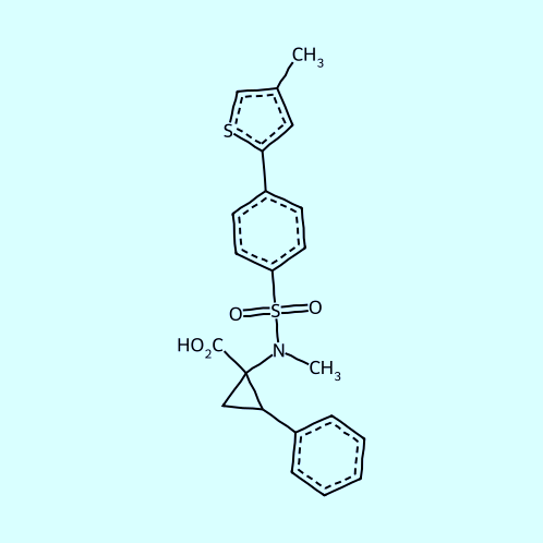 Cc1csc(-c2ccc(S(=O)(=O)N(C)C3(C(=O)O)CC3c3ccccc3)cc2)c1